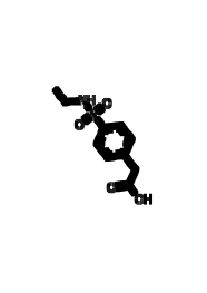 CCNS(=O)(=O)c1ccc(CC(=O)O)cc1